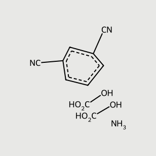 N.N#Cc1cccc(C#N)c1.O=C(O)O.O=C(O)O